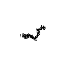 Cn1c(CN2CCC(c3ccc(C(=O)N4CCC(Cn5cc(-c6cccc7c6n(C)c(=O)n7C6CCC(=O)NC6=O)cn5)CC4)cc3)CC2)cc2c(-c3ccc4c(cnn4C4CCCCO4)c3)ccnc21